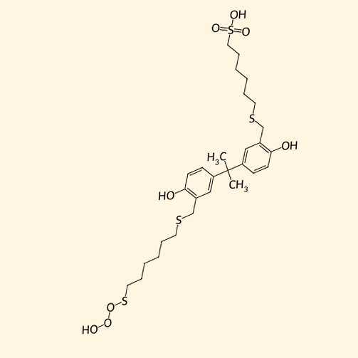 CC(C)(c1ccc(O)c(CSCCCCCCSOOO)c1)c1ccc(O)c(CSCCCCCCS(=O)(=O)O)c1